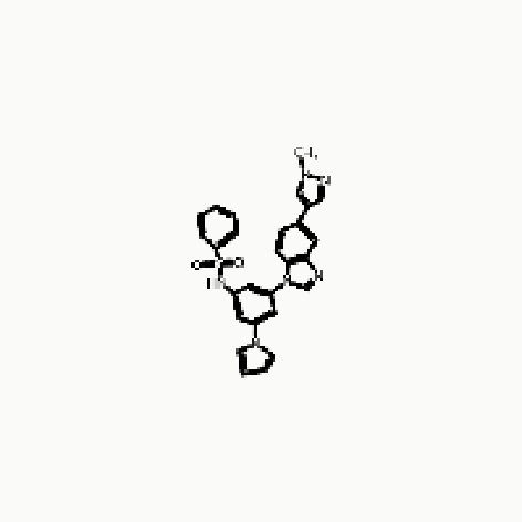 Cn1cc(-c2ccc3c(c2)ncn3-c2cc(NS(=O)(=O)c3ccccc3)cc(-n3cccc3)c2)cn1